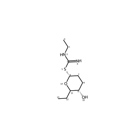 CCNC(=N)S[C@@H]1CC[C@H](O)C(CC)O1